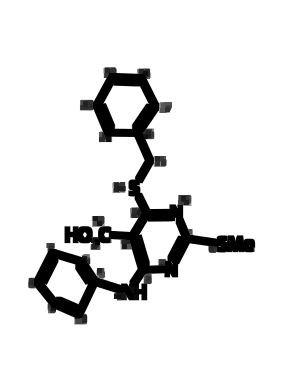 CSc1nc(Nc2ccccc2)c(C(=O)O)c(SCc2ccccc2)n1